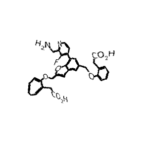 NCc1nccc(-c2cc(COc3ccccc3CC(=O)O)cc3cc(COc4ccccc4CC(=O)O)oc23)c1F